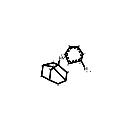 CNC12CC3CC(CC(C3)C1)C2.Nc1ccccc1